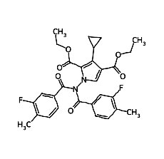 CCOC(=O)c1cn(N(C(=O)c2ccc(C)c(F)c2)C(=O)c2ccc(C)c(F)c2)c(C(=O)OCC)c1C1CC1